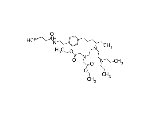 C#CCCC(=O)NCCc1ccc(CCCC(CC)N(CCN(CCC)CCC)CCN(CC(=O)OCC)CC(=O)OCC)cc1